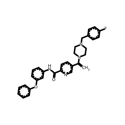 C=C(c1ccc(C(=O)Nc2cccc(Oc3ccccc3)c2)nc1)N1CCN(Cc2ccc(F)cc2)CC1